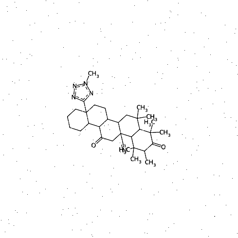 CC1C(=O)C(C)(C)C2C(C1(C)C)C1(C#N)CC(=O)C3C(CCC4(c5nnn(C)n5)CCCCC34)C1CC2(C)C